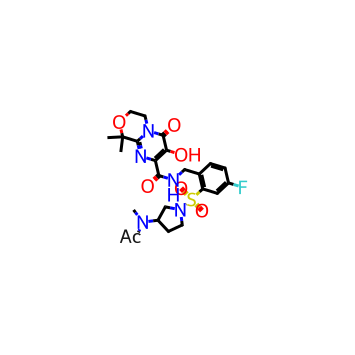 CC(=O)N(C)C1CCN(S(=O)(=O)c2cc(F)ccc2CNC(=O)c2nc3n(c(=O)c2O)CCOC3(C)C)C1